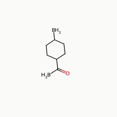 BC(=O)C1CCC(B)CC1